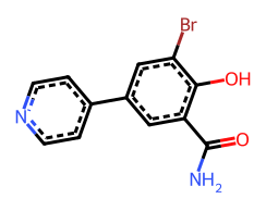 NC(=O)c1cc(-c2ccncc2)cc(Br)c1O